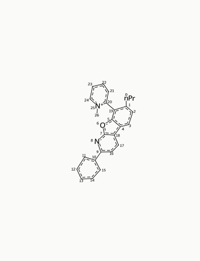 CCCc1ccc2c(oc3nc(-c4ccccc4)ccc32)c1-c1cccc[n+]1C